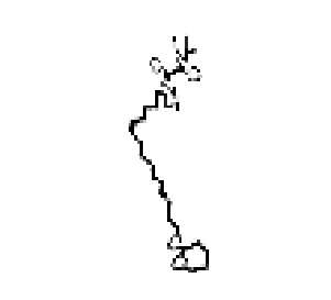 CNC(=O)C(=O)NCCCC/C=C\CCCCCCCCCOC1CCCCO1